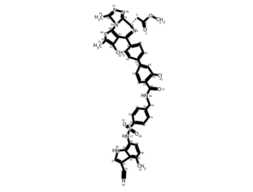 COC(=O)C[C@@H]1N=C(c2ccc(-c3ccc(C(=O)NCc4ccc(S(=O)(=O)Nc5ccc(C)c6c(C#N)c[nH]c56)cc4)c(Cl)c3)cc2)c2c(sc(C)c2C)-n2c(C)nnc21